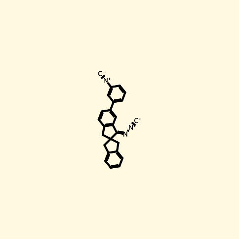 [C-]#[N+]/N=C1\c2cc(-c3cccc([N+]#[C-])c3)ccc2CC12Cc1ccccc1C2